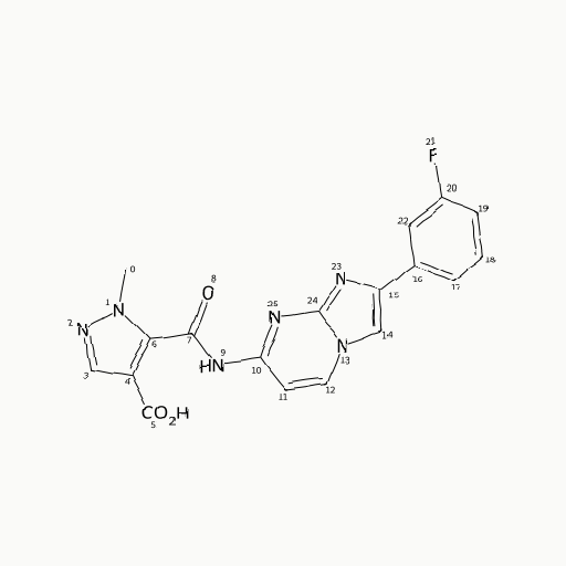 Cn1ncc(C(=O)O)c1C(=O)Nc1ccn2cc(-c3cccc(F)c3)nc2n1